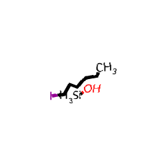 CCCCCCI.O[SiH3]